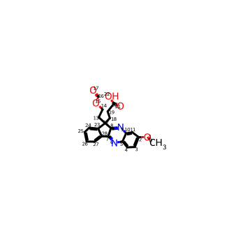 COc1ccc2nc3c(nc2c1)C(CCOC=O)(CCC(=O)O)c1ccccc1-3